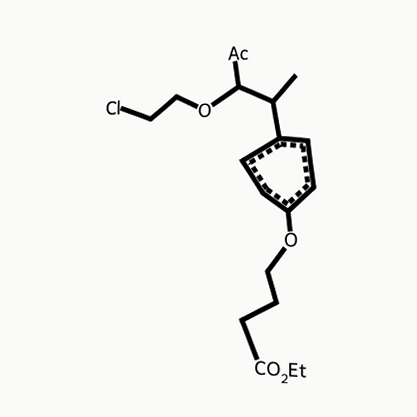 CCOC(=O)CCCOc1ccc(C(C)C(OCCCl)C(C)=O)cc1